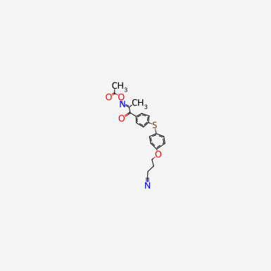 CC(=O)O/N=C(\C)C(=O)c1ccc(Sc2ccc(OCCCC#N)cc2)cc1